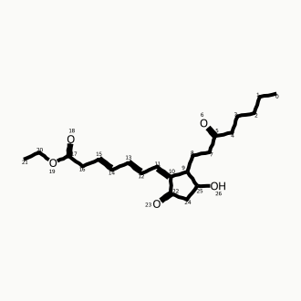 CCCCCC(=O)CCC1C(=CC=CC=CCC(=O)OCC)C(=O)CC1O